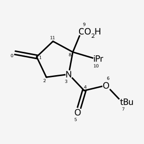 C=C1CN(C(=O)OC(C)(C)C)C(C(=O)O)(C(C)C)C1